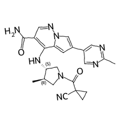 Cc1ncc(-c2cc3c(N[C@@H]4CN(C(=O)C5(C#N)CC5)C[C@H]4C)c(C(N)=O)cnn3c2)cn1